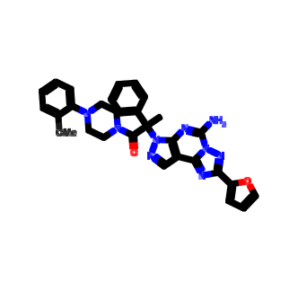 COc1ccccc1N1CCN(C(=O)C(C)(c2ccccc2)n2ncc3c2nc(N)n2nc(-c4ccco4)nc32)CC1